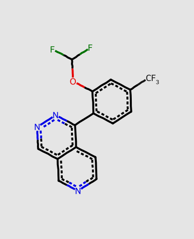 FC(F)Oc1cc(C(F)(F)F)ccc1-c1nncc2cnccc12